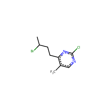 CC(Br)CCc1nc(Cl)ncc1C(F)(F)F